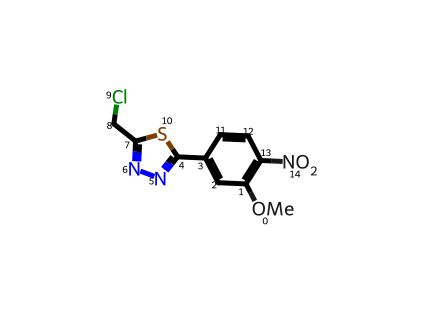 COc1cc(-c2nnc(CCl)s2)ccc1[N+](=O)[O-]